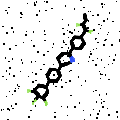 C=C/C(F)=C(\F)c1ccc(-c2ccc(-c3ccc(-c4cc(F)c(F)c(F)c4)cc3)cn2)cc1